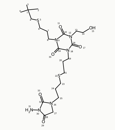 CC(C)(C)CSCCCn1c(=O)n(CCO)c(=O)n(CCCSCCCN2CC(=O)N(N)C2=O)c1=O